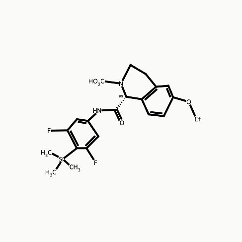 CCOc1ccc2c(c1)CCN(C(=O)O)[C@H]2C(=O)Nc1cc(F)c([Si](C)(C)C)c(F)c1